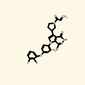 C=CC(=O)N1CCC(c2cn(-c3ccc(Oc4cccc(F)c4F)cc3)c3c(N)n[nH]c(=O)c23)C1